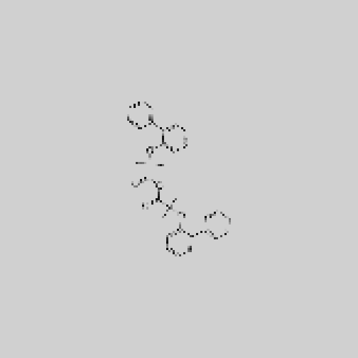 CC(C)(Oc1ccccc1-c1ccccc1)C(=O)OC(=O)C(C)(C)Oc1ccccc1-c1ccccc1